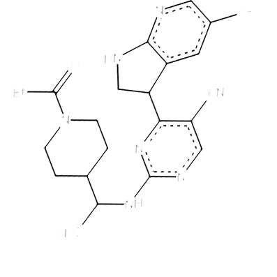 CCC(=O)N1CCC(C(C)Nc2ncc(C#N)c(C3CNc4ncc(C(F)(F)F)cc43)n2)CC1